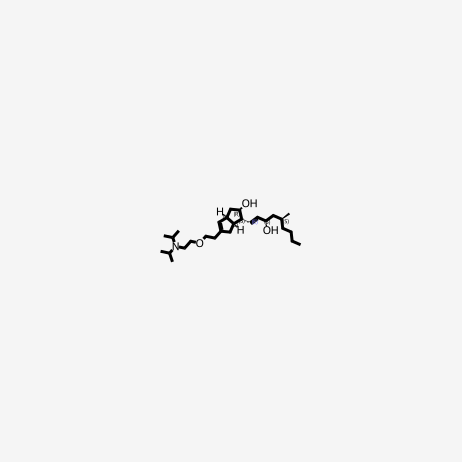 CCCC[C@H](C)C[C@H](O)/C=C/[C@@H]1[C@H]2CC(CCOCCN(C(C)C)C(C)C)=C[C@H]2C[C@H]1O